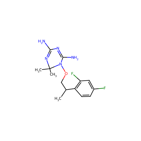 CC(CON1C(N)=NC(N)=NC1(C)C)c1ccc(F)cc1F